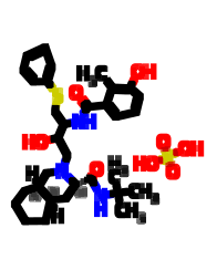 Cc1c(O)cccc1C(=O)NC(CSc1ccccc1)C(O)CN1C[C@H]2CCCC[C@H]2C[C@H]1C(=O)NC(C)(C)C.O=S(=O)(O)O